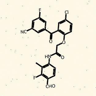 Cc1c(NC(=O)COc2ccc(Cl)cc2C(=O)c2cc(F)cc(C#N)c2)ccc(C=O)c1F